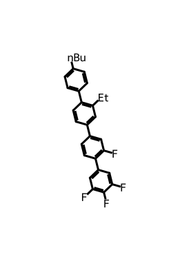 CCCCc1ccc(-c2ccc(-c3ccc(-c4cc(F)c(F)c(F)c4)c(F)c3)cc2CC)cc1